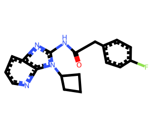 O=C(Cc1ccc(F)cc1)Nc1nc2cccnc2n1C1CCC1